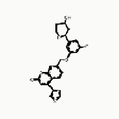 O=c1cc(-c2ccsc2)c2ccc(COc3cc(F)cc(C4CC(O)CCO4)c3)cc2o1